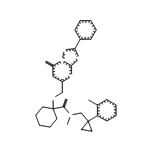 Cc1ccccc1C1(CN(C)C(=O)C2(OCc3cc(=O)n4nc(-c5ccccc5)nc4[nH]3)CCCCC2)CC1